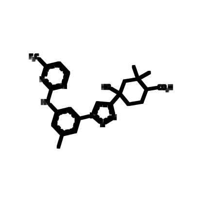 Cc1cc(Nc2nccc(C(F)(F)F)n2)cc(-n2cc(C3(O)CCC(C(=O)O)C(C)(C)C3)nn2)c1